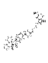 N#Cc1ccc2[nH]cc(CCCCN3CCN(c4ccc5oc(C(=O)N(C(=O)C6CCCC6)C6CCCCC6)cc5c4)CC3)c2c1